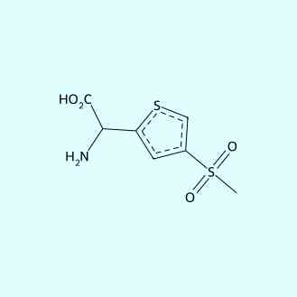 CS(=O)(=O)c1csc(C(N)C(=O)O)c1